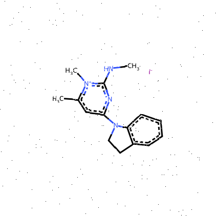 CNc1nc(N2CCc3ccccc32)cc(C)[n+]1C.[I-]